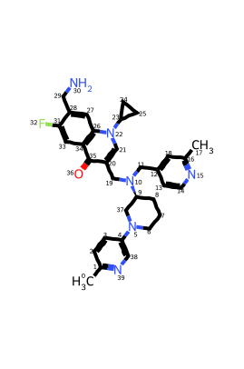 Cc1ccc(N2CCC[C@H](N(Cc3ccnc(C)c3)Cc3cn(C4CC4)c4cc(CN)c(F)cc4c3=O)C2)cn1